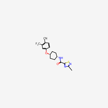 Cc1nsc(C(=O)N[C@H]2CC[C@H](Oc3ccc(C#N)c(C(F)(F)F)c3)CC2)n1